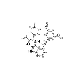 C=CC(=O)C(Nc1n[nH]c2nccc(C#Cc3cc(OC)cc(OC)c3)c12)C1CCNCC1